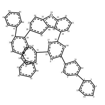 c1ccc(-c2ccc(-c3nc(-c4ccccc4)nc(-c4cccc5oc6ccc(-c7cc(-c8ccccc8)ccc7-c7ccccc7)cc6c45)n3)cc2)cc1